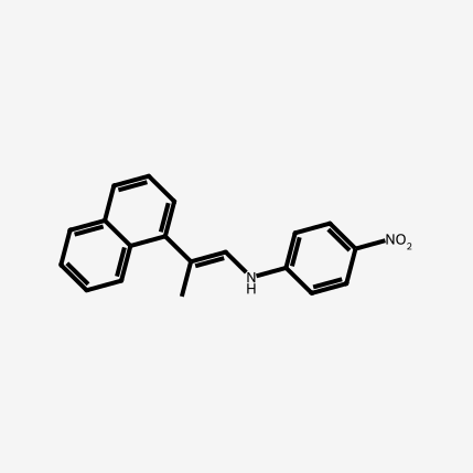 C/C(=C\Nc1ccc([N+](=O)[O-])cc1)c1cccc2ccccc12